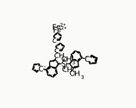 CC1=Cc2c(-[c-]3cccc3)cccc2C1[Si](C)(C)C1C(C)=Cc2c(-[c-]3cccc3)cccc21.[Fe+2].[Fe+2].c1cc[cH-]c1.c1cc[cH-]c1